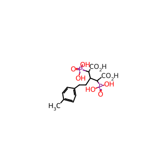 Cc1ccc(CCC(C(C(=O)O)P(=O)(O)O)C(C(=O)O)P(=O)(O)O)cc1